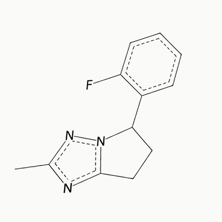 Cc1nc2n(n1)C(c1ccccc1F)CC2